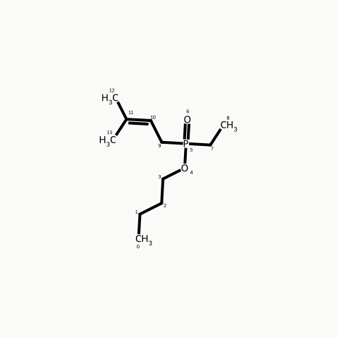 CCCCOP(=O)(CC)CC=C(C)C